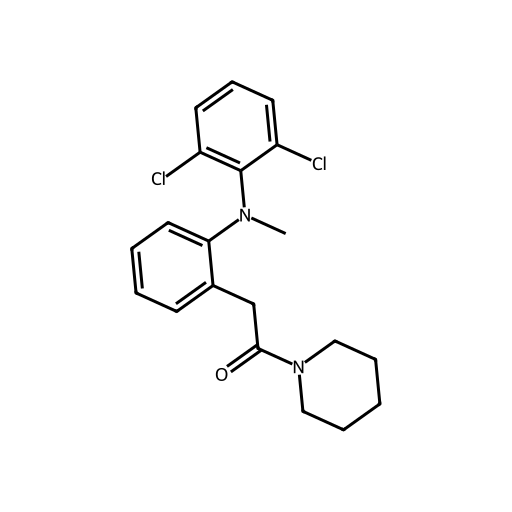 CN(c1ccccc1CC(=O)N1CCCCC1)c1c(Cl)cccc1Cl